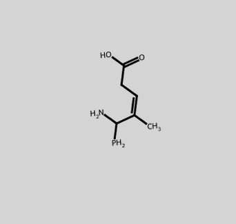 CC(=CCC(=O)O)C(N)P